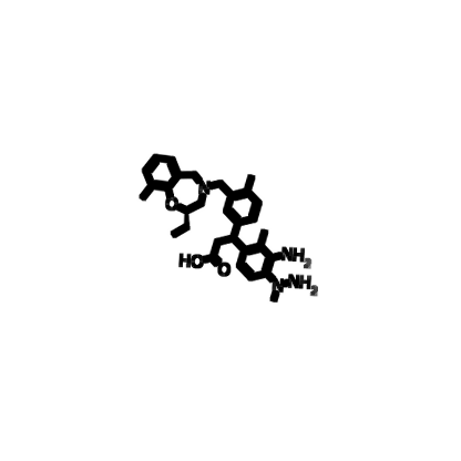 CC[C@@H]1CN(Cc2cc(C(CC(=O)O)c3ccc(N(C)N)c(N)c3C)ccc2C)Cc2cccc(C)c2O1